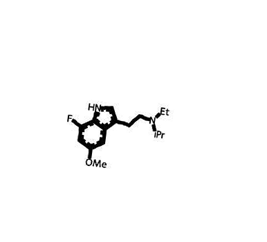 CCN(CCc1c[nH]c2c(F)cc(OC)cc12)C(C)C